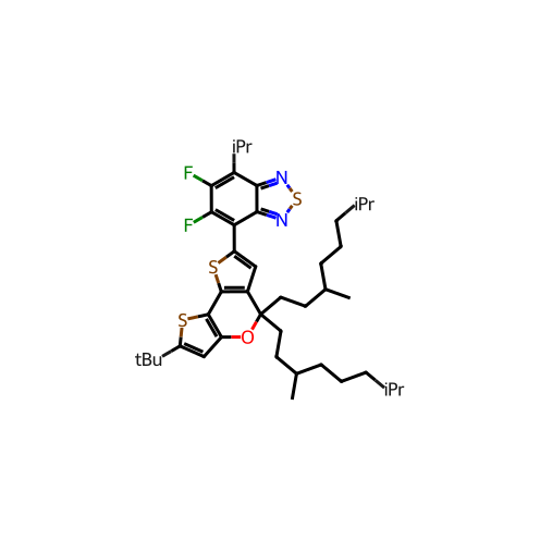 CC(C)CCCC(C)CCC1(CCC(C)CCCC(C)C)Oc2cc(C(C)(C)C)sc2-c2sc(-c3c(F)c(F)c(C(C)C)c4nsnc34)cc21